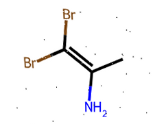 CC(N)=C(Br)Br